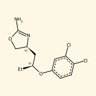 CC[C@@H](C[C@H]1COC(N)=N1)Oc1ccc(Cl)c(Cl)c1